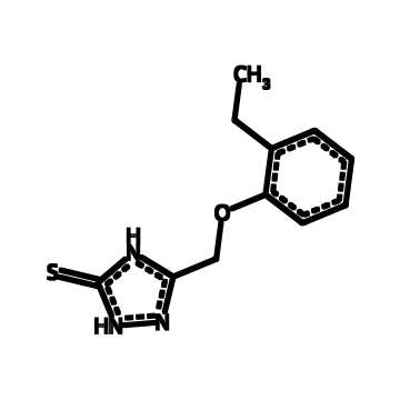 CCc1ccccc1OCc1n[nH]c(=S)[nH]1